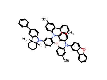 Cc1cc2c3c(c1)N(c1ccc(C(C)(C)C)cc1-c1ccccc1)c1cc(N4c5ccc(-c6ccccc6)cc5C5(C)CCCCC45C)ccc1B3c1ccc(C(C)(C)C)cc1N2c1ccc2oc3ccccc3c2c1